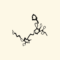 CCOC(=O)c1cn(CCc2cc(OCCCOC)c(Cl)nc2C)cc(OCc2ccccc2)c1=O